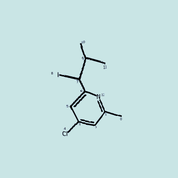 Cc1cc(Cl)cc(C(I)C(C)C)n1